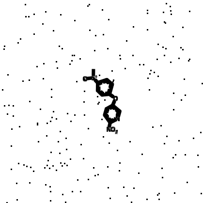 C[S+]([O-])c1ccc(Oc2ccc([N+](=O)[O-])nc2)cc1